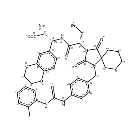 Cc1ccccc1NC(=O)Nc1ccc(CN2C(=O)N([C@@H](CC(C)C)C(=O)N[C@@H](CC(=O)[O-])c3ccc4c(c3)OCCO4)C(=O)C23CCCCC3)cc1.[Na+]